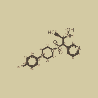 C#CC(NO)C(c1cccnc1)S(=O)(=O)N1CCN(c2ccc(F)cc2)CC1